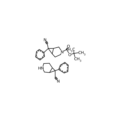 CC(C)(C)OC(=O)N1CCC2C(C1)C2(C#N)c1ccccc1.N#CC1(c2ccccc2)C2CCNCC21